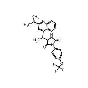 CC(c1cc(N(C)C)nc2ccccc12)C1NC(=O)N(c2ccc(OC(F)(F)F)cc2)C1=O